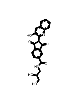 O=C(NCC(O)CO)c1ccc2c(c1)C(=O)C(c1nc3ccccc3cc1O)C2=O